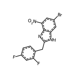 O=[N+]([O-])c1cc(Br)cc2[nH]c(Cc3ccc(F)cc3F)nc12